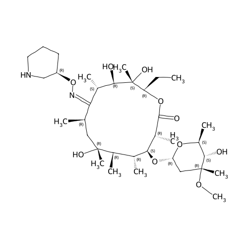 CC[C@H]1OC(=O)[C@H](C)[C@@H](O[C@H]2C[C@@](C)(OC)[C@@H](O)[C@H](C)O2)[C@H](C)[C@@H](C)[C@](C)(O)C[C@@H](C)C(=NO[C@@H]2CCCNC2)[C@H](C)[C@@H](O)[C@]1(C)O